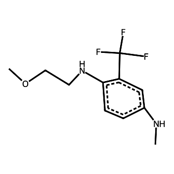 CNc1ccc(NCCOC)c(C(F)(F)F)c1